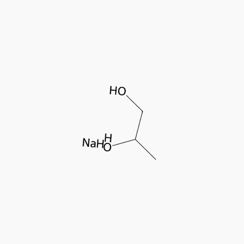 CC(O)CO.[NaH]